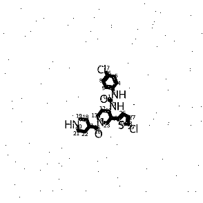 O=C(Nc1ccc(Cl)cc1)NC1CCN(C(=O)C2CCNCC2)CC1c1ccc(Cl)s1